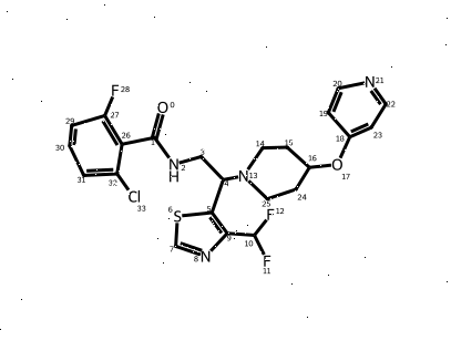 O=C(NCC(c1scnc1C(F)F)N1CCC(Oc2ccncc2)CC1)c1c(F)cccc1Cl